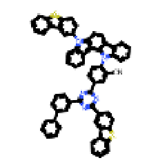 N#Cc1cc(-c2nc(-c3cccc(-c4ccccc4)c3)nc(-c3ccc4sc5ccccc5c4c3)n2)ccc1-n1c2ccccc2c2ccc3c(c4ccccc4n3-c3ccc4sc5ccccc5c4c3)c21